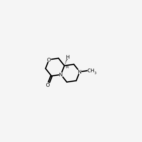 CN1CCN2C(=O)COC[C@H]2C1